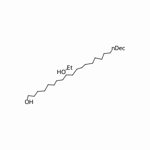 CCCCCCCCCCCCCCCCCCCCCCCCCCCCO.CCO